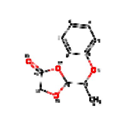 CC(Oc1ccccc1)C1OCC(=O)O1